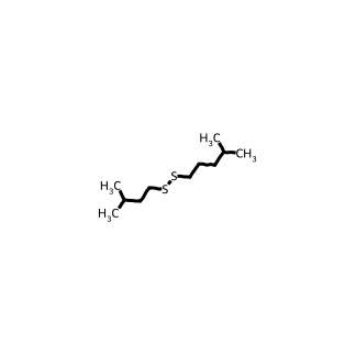 CC(C)CCCSSCCC(C)C